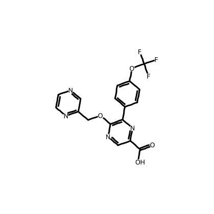 O=C(O)c1cnc(OCc2cnccn2)c(-c2ccc(OC(F)(F)F)cc2)n1